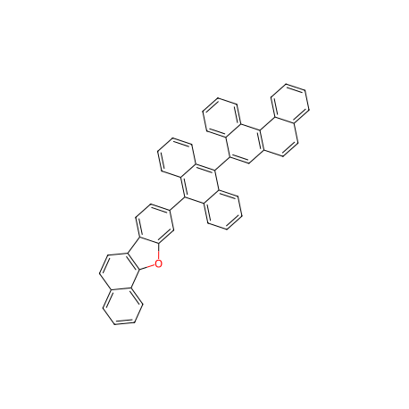 c1ccc2c(c1)ccc1c3ccc(-c4c5ccccc5c(-c5cc6ccc7ccccc7c6c6ccccc56)c5ccccc45)cc3oc21